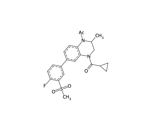 CC(=O)N1c2ccc(-c3ccc(F)c(S(C)(=O)=O)c3)cc2N(C(=O)C2CC2)CC1C